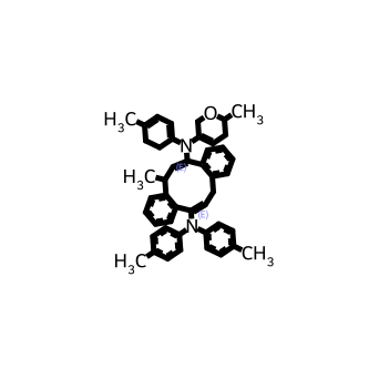 CC1=CC=C(N(C2=CCC(C)OC2)/C2=C/C(C)c3ccccc3/C(N(c3ccc(C)cc3)c3ccc(C)cc3)=C\Cc3ccccc32)CC1